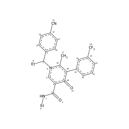 CCNC(=O)c1cn(C(CC)c2ccc(C#N)cc2)c(C)c(-c2cccc(C(F)(F)F)c2)c1=O